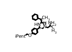 CCCC(C)COc1ccc([C@H](CNC[C@H](C)N)NC(=O)[C@@H](C)c2ccccc2)cc1